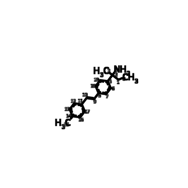 CCC(C)(N)c1ccc(/C=C/c2ccc(C)cc2)cc1